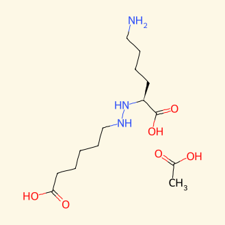 CC(=O)O.NCCCC[C@H](NNCCCCCC(=O)O)C(=O)O